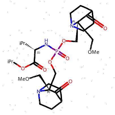 COC[C@@]1(COP(=O)(N[C@H](C(=O)OC(C)C)C(C)C)OC[C@]2(COC)C(=O)C3CCN2CC3)C(=O)C2CCN1CC2